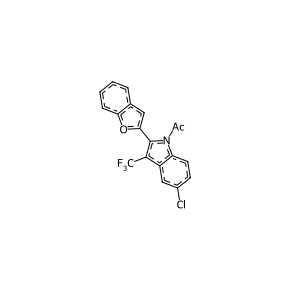 CC(=O)n1c(-c2cc3ccccc3o2)c(C(F)(F)F)c2cc(Cl)ccc21